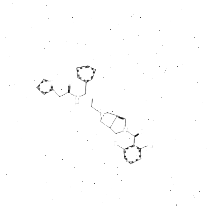 O=C(Cc1cccs1)N[C@@H](CCN1CC2=CN(C(=O)c3c(F)cccc3Cl)CC2C1)c1ccccc1